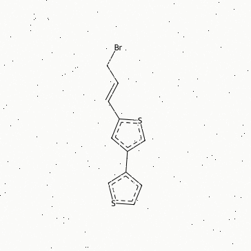 BrCC=Cc1cc(-c2ccsc2)cs1